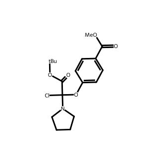 COC(=O)c1ccc(OC(Cl)(C(=O)OC(C)(C)C)N2CCCC2)cc1